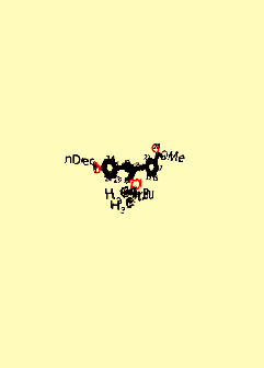 CCCCCCCCCCOc1ccc(/C=C(\CO[Si](C)(C)C(C)(C)C)c2cccc(C(=O)OC)c2)cc1